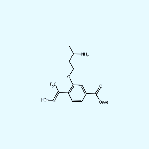 COC(=O)c1ccc(C(=NO)C(F)(F)F)c(OCCC(C)N)c1